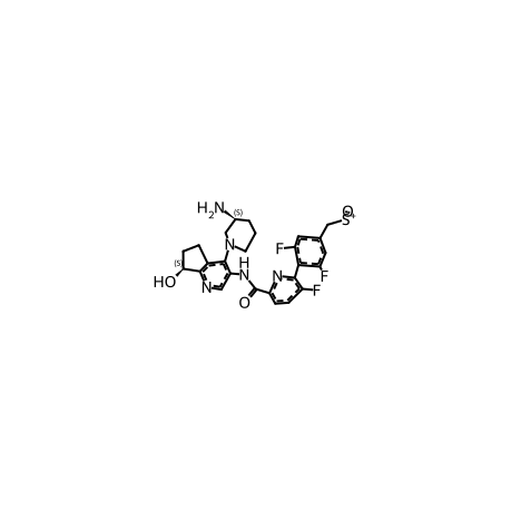 N[C@H]1CCCN(c2c(NC(=O)c3ccc(F)c(-c4c(F)cc(C[S+]=O)cc4F)n3)cnc3c2CC[C@@H]3O)C1